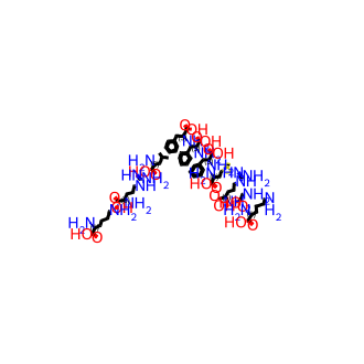 CC(C)C[C@H](N)C(=O)O.CSCC[C@H](N)C(=O)O.N=C(N)NCCC[C@H](N)C(=O)O.N=C(N)NCCC[C@H](N)C(=O)O.NCC(=O)O.NCCCC[C@H](N)C(=O)O.NCCCC[C@H](N)C(=O)O.N[C@@H](Cc1ccccc1)C(=O)O.N[C@@H](Cc1ccccc1)C(=O)O.N[C@@H](Cc1ccccc1)C(=O)O